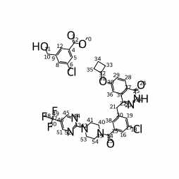 COC(=O)c1cc(Cl)cc(CO)c1.O=C(c1cc(Cl)cc(Cc2n[nH]c(=O)c3ccc(OC4CCC4)cc23)c1)N1CCN(c2ncc(C(F)(F)F)cn2)CC1